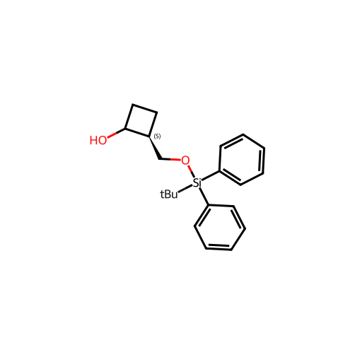 CC(C)(C)[Si](OC[C@@H]1CCC1O)(c1ccccc1)c1ccccc1